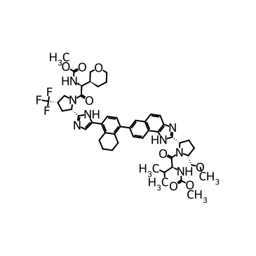 COC[C@H]1CC[C@@H](c2nc3ccc4cc(-c5ccc(-c6cnc([C@@H]7C[C@H](C(F)(F)F)CN7C(=O)[C@@H](NC(=O)OC)[C@@H]7CCCOC7)[nH]6)c6c5CCCC6)ccc4c3[nH]2)N1C(=O)[C@@H](NC(=O)OC)C(C)C